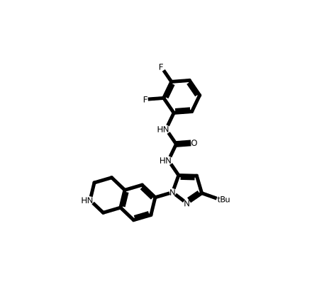 CC(C)(C)c1cc(NC(=O)Nc2cccc(F)c2F)n(-c2ccc3c(c2)CCNC3)n1